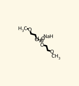 COCC[O][Al][O]CCOC.O.[NaH]